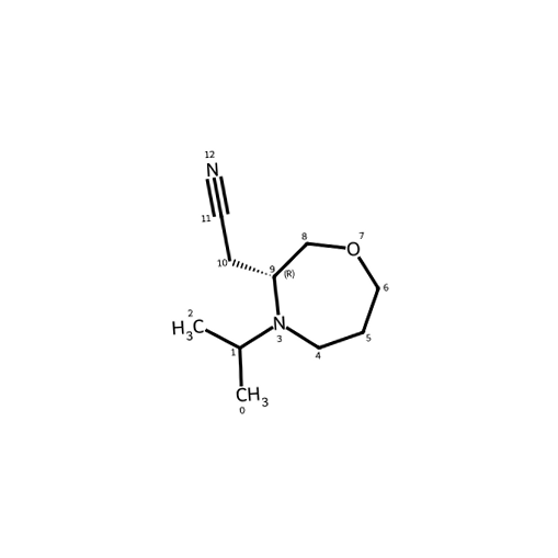 CC(C)N1CCCOC[C@H]1CC#N